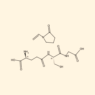 C=CN1CCCC1=O.N[C@@H](CCC(=O)N[C@@H](CS)C(=O)NCC(=O)O)C(=O)O